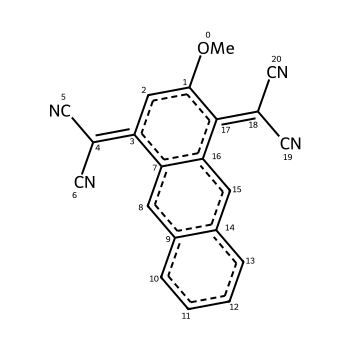 COc1cc(=C(C#N)C#N)c2cc3ccccc3cc2c1=C(C#N)C#N